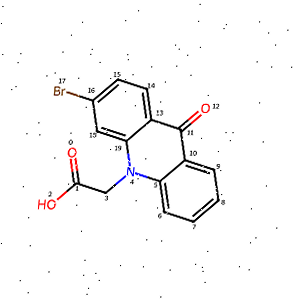 O=C(O)Cn1c2ccccc2c(=O)c2ccc(Br)cc21